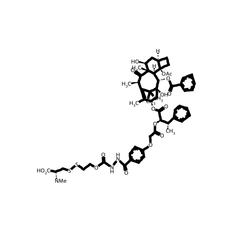 CN[C@@H](CSSCCOC(=O)NNC(=O)c1ccc(OCC(=O)O[C@@H](C(=O)O[C@H]2C[C@@]3(O)[C@@H](OC(=O)c4ccccc4)[C@@H]4[C@]5(OC(C)=O)CC[C@@H]5C[C@H](O)[C@@]4(C)C(=O)[C@H](C)C(=C2C)C3(C)C)[C@@H](C)c2ccccc2)cc1)C(=O)O